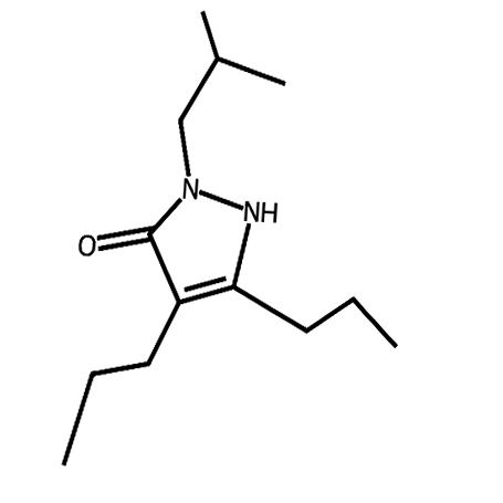 CCCc1[nH]n(CC(C)C)c(=O)c1CCC